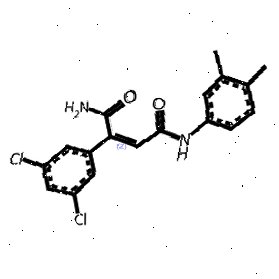 Cc1ccc(NC(=O)/C=C(\C(N)=O)c2cc(Cl)cc(Cl)c2)cc1C